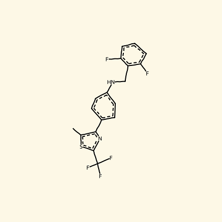 Cc1sc(C(F)(F)F)nc1-c1ccc(NCc2c(F)cccc2F)cc1